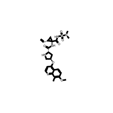 C=C[C@@H]1C[C@]1(NC(=O)[C@@H]1C[C@@H](Oc2ccnc3c(C)c(OC)ccc23)CN1)C(=O)NS(=O)(=O)N(C)C